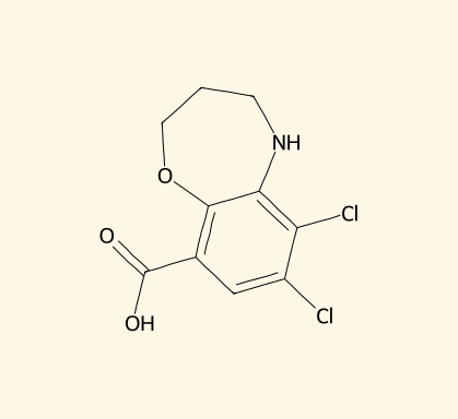 O=C(O)c1cc(Cl)c(Cl)c2c1OCCCN2